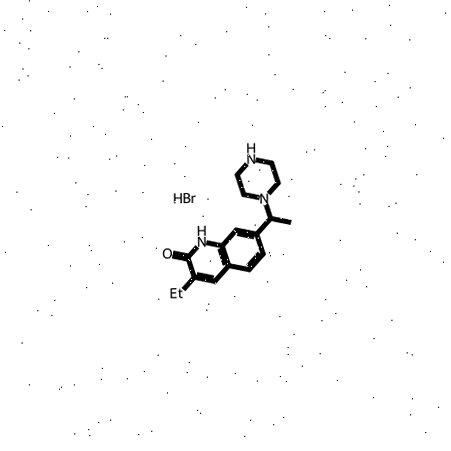 Br.CCc1cc2ccc(C(C)N3CCNCC3)cc2[nH]c1=O